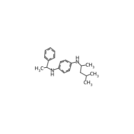 CC(C)CC(C)Nc1ccc(NC(C)c2ccccc2)cc1